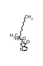 CCCCCCCCCC(C)NC(=O)n1sc2ncccc2c1=O